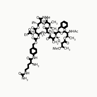 C=C(C(=O)N[C@@H](C)C(=O)N(C)[C@@H](C)C(=O)N[C@H](C(=O)NC)[C@H](OC(=O)[C@@H](NC(=O)CC)[C@H](OC(=O)OCc1ccc(NC(=O)[C@@H](N)CCCNC(N)=O)cc1)C(C)C)C(C)C)N(C)C(=O)[C@@H](Cc1ccccc1)OC(=O)[C@@H](NC(C)=O)[C@@H](C)OC(=O)C[C@@H](C)OC